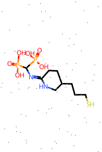 O=P(O)(O)C(/N=C1\CCC(CCCS)CN1)P(=O)(O)O